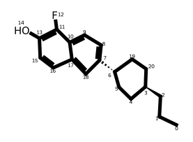 CCC[C@H]1CC[C@H](c2ccc3c(F)c(O)ccc3c2)CC1